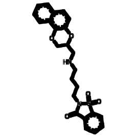 O=C1c2ccccc2S(=O)(=O)N1CCCCNCC1COc2c(ccc3ccccc23)O1